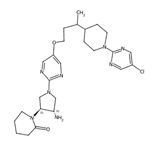 CC(CCOc1cnc(N2C[C@H](N)[C@@H](N3CCCCC3=O)C2)nc1)C1CCN(c2ncc(Cl)cn2)CC1